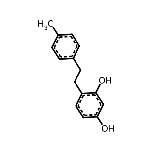 Cc1ccc(CCc2ccc(O)cc2O)cc1